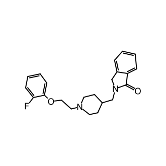 O=C1c2ccccc2CN1CC1CCN(CCOc2ccccc2F)CC1